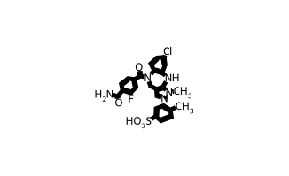 Cc1ccc(S(=O)(=O)O)cc1.Cn1ncc2c1Nc1cc(Cl)ccc1N(C(=O)c1ccc(C(N)=O)c(F)c1)C2